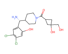 N[C@@H](c1cc(Cl)c(Cl)cc1O)C1CCN(C(=O)C2CC(O)(CO)C2)CC1